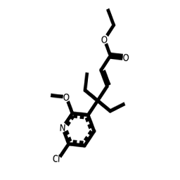 CCOC(=O)/C=C/C(CC)(CC)c1ccc(Cl)nc1OC